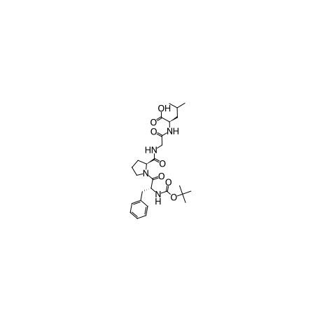 CC(C)C[C@@H](NC(=O)CNC(=O)[C@@H]1CCCN1C(=O)[C@@H](Cc1ccccc1)NC(=O)OC(C)(C)C)C(=O)O